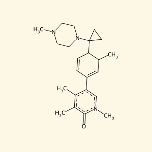 Cc1c(C2=CC(C)C(C3(N4CCN(C)CC4)CC3)C=C2)cn(C)c(=O)c1C